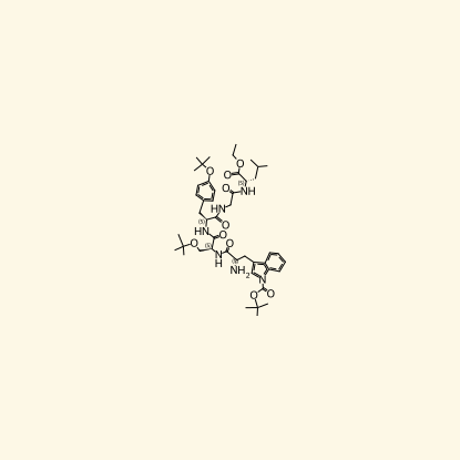 CCOC(=O)[C@H](CC(C)C)NC(=O)CNC(=O)[C@H](Cc1ccc(OC(C)(C)C)cc1)NC(=O)[C@H](COC(C)(C)C)NC(=O)[C@@H](N)Cc1cn(C(=O)OC(C)(C)C)c2ccccc12